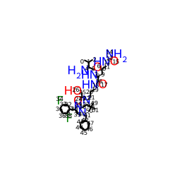 CC(C)[C@H](N)C(=O)N[C@@H](CCCNC(N)=O)C(=O)NCCCN(C(=O)CO)[C@@H](c1nc(-c2cc(F)ccc2F)cn1Cc1ccccc1)C(C)(C)C